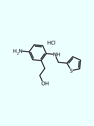 Cl.Nc1ccc(NCc2cccs2)c(CCO)c1